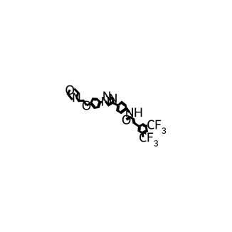 O=C(/C=C/c1cc(C(F)(F)F)cc(C(F)(F)F)c1)Nc1ccc(-c2cn(-c3ccc(OCCN4CCOCC4)cc3)nn2)cc1